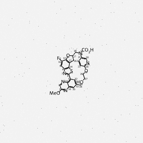 COc1cnc2c(-c3nc4cc(F)c5c(c4s3)CC(CN(C(=O)O)c3ccc(OCCO)nc3)O5)cc(C)cc2n1